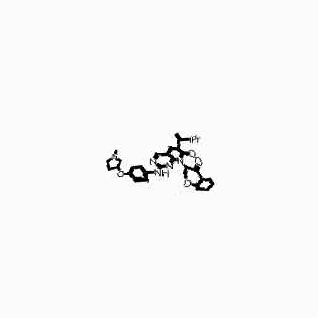 C=C(c1cc2cnc(Nc3ccc(OC4CCN(C)C4)cc3)nc2n(C2COc3ccccc3C2=O)c1=O)C(C)C